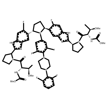 COC(=O)N[C@H](C(=O)N1CCCC1c1nc2cc([C@@H]3CC[C@@H](c4cc5nc([C@@H]6CCCN6C(=O)[C@@H](NC(=O)OC)[C@@H](C)OC)[nH]c5cc4F)N3c3cc(F)c(N4CCN(c5c(F)cccc5F)CC4)c(F)c3)c(F)cc2[nH]1)[C@@H](C)OC